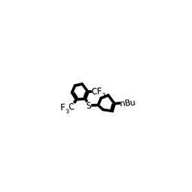 CCCCC1=CCC(SC2=C(C(F)(F)F)CCC=C2C(F)(F)F)CC1